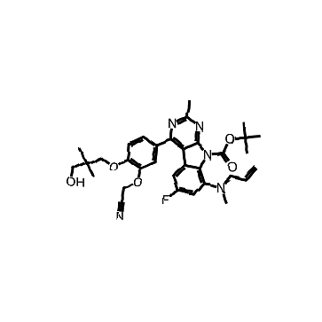 C=CCN(C)c1cc(F)cc2c3c(-c4ccc(OCC(C)(C)CO)c(OCC#N)c4)nc(C)nc3n(C(=O)OC(C)(C)C)c12